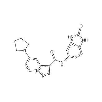 O=C(Nc1ccc2[nH]c(=O)[nH]c2c1)c1cnn2ccc(N3CCCC3)cc12